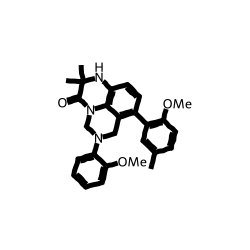 COc1ccc(C)cc1-c1ccc2c3c1CN(c1ccccc1OC)CN3C(=O)C(C)(C)N2